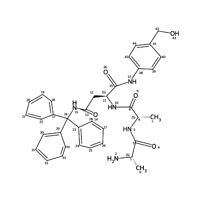 C[C@H](N)C(=O)N[C@@H](C)C(=O)N[C@@H](CC(=O)NC(c1ccccc1)(c1ccccc1)c1ccccc1)C(=O)Nc1ccc(CO)cc1